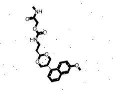 CNC(=O)COC(=O)NCC[C@H]1OC[C@H](c2cccc3cc(OC)ccc32)CO1